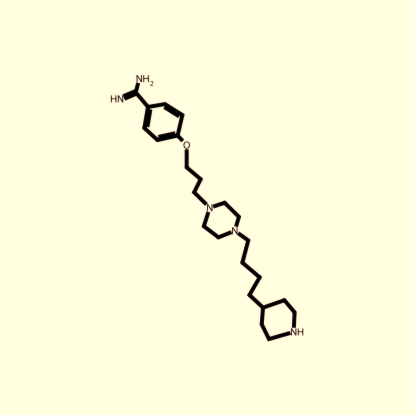 N=C(N)c1ccc(OCCCN2CCN(CCCCC3CCNCC3)CC2)cc1